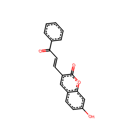 O=C(C=Cc1cc2ccc(O)cc2oc1=O)c1ccccc1